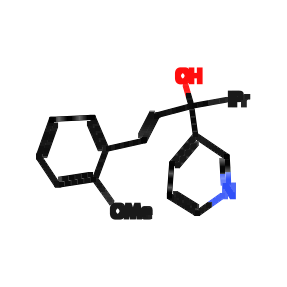 COc1ccccc1C=CC(O)(c1cccnc1)C(C)C